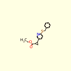 CCOC(=O)C1CC1c1ccc(SCc2ccccc2)nc1